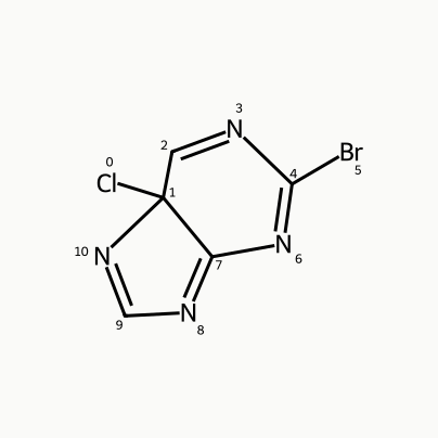 ClC12C=NC(Br)=NC1=NC=N2